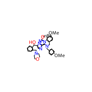 CCCCOc1nc(N(Cc2ccc(OC)cc2)Cc2ccc(OC)cc2)c2ncc(C(O)c3ccccc3CN3CCOCC3)n2n1